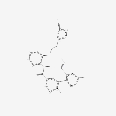 C/N=C/c1cc(C(F)(F)F)ncc1-c1cc(C(=O)N(C)c2ccccc2OCCc2n[nH]c(=O)o2)ccc1Cl